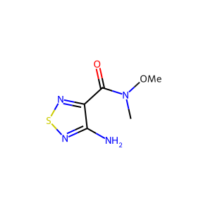 CON(C)C(=O)c1nsnc1N